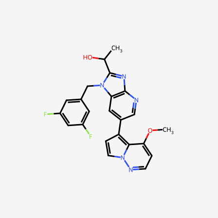 COc1ccnn2ccc(-c3cnc4nc(C(C)O)n(Cc5cc(F)cc(F)c5)c4c3)c12